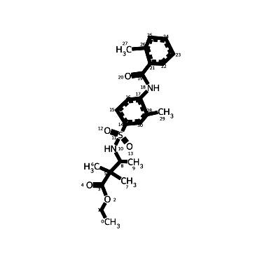 CCOC(=O)C(C)(C)C(C)NS(=O)(=O)c1ccc(NC(=O)c2ccccc2C)c(C)c1